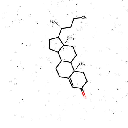 C[C@H](CCC#N)C1CCC2C3CCC4=CC(=O)CC[C@]4(C)C3CC[C@@]21C